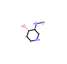 CC(C)N[C@H]1CNCC[C@@H]1O